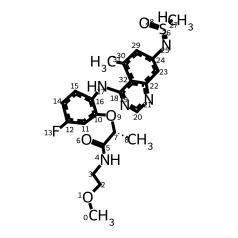 COCCNC(=O)[C@@H](C)Oc1cc(F)ccc1Nc1ncnc2cc(/N=[SH](/C)=O)cc(C)c12